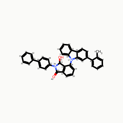 Cc1ccccc1-c1ccc2c3ccccc3n(-c3cccc4c3C(O)N(c3ccc(-c5ccccc5)cc3)C4=O)c2c1